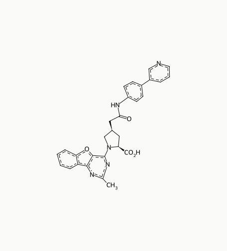 Cc1nc(N2C[C@@H](CC(=O)Nc3ccc(-c4cccnc4)cc3)C[C@H]2C(=O)O)c2oc3ccccc3c2n1